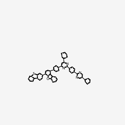 c1ccc(-c2cnc(-c3ccc(-c4nc(-c5ccccc5)cc(-c5ccc(-c6ccc(-c7ccc8c(c7)sc7ccccc78)c7oc8ccccc8c67)cc5)n4)cc3)nc2)cc1